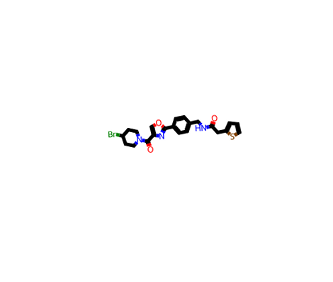 O=C(Cc1cccs1)NCc1ccc(-c2nc(C(=O)N3CCC(Br)CC3)co2)cc1